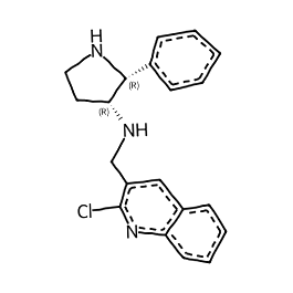 Clc1nc2ccccc2cc1CN[C@@H]1CCN[C@@H]1c1ccccc1